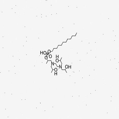 CCCCCCCCCCCCOP(=O)(O)OC(C)CN(CCN(CC(C)O)CC(C)O)CC(C)O